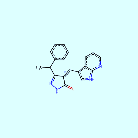 CC(C1=NNC(=O)/C1=C\c1c[nH]c2ncccc12)c1ccccc1